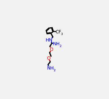 NCCOCCOCC(N)NCc1ccccc1C(F)(F)F